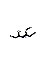 CC(C)C/C(=C/C(O)CC(C)C)OC(C)C